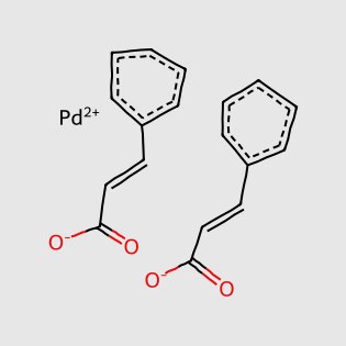 O=C([O-])C=Cc1ccccc1.O=C([O-])C=Cc1ccccc1.[Pd+2]